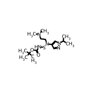 CC(C)n1cc(N(CCN(C)C)SNC(=O)OC(C)(C)C)cn1